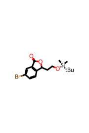 CC(C)(C)[Si](C)(C)OCCC1OC(=O)c2cc(Br)ccc21